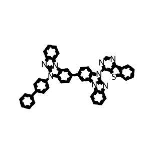 c1ccc(-c2ccc(-n3c4ccc(-c5ccc6c(c5)n5c7ccccc7nc5n6-c5ncnc6c5sc5ccccc56)cc4n4c5ccccc5nc34)cc2)cc1